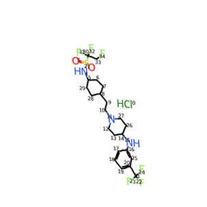 Cl.O=S(=O)(NC1CCC(CCN2CCC(Nc3cccc(C(F)(F)F)c3)CC2)CC1)C(F)(F)CF